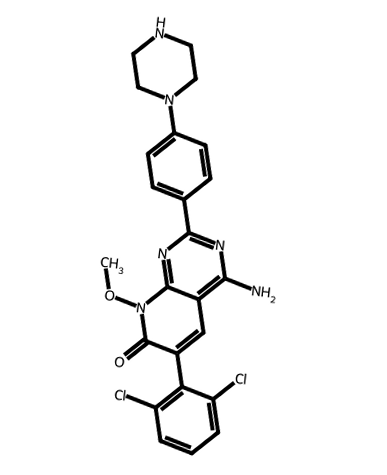 COn1c(=O)c(-c2c(Cl)cccc2Cl)cc2c(N)nc(-c3ccc(N4CCNCC4)cc3)nc21